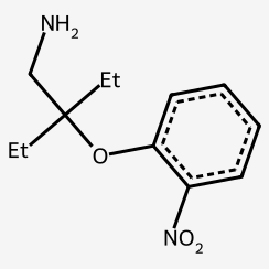 CCC(CC)(CN)Oc1ccccc1[N+](=O)[O-]